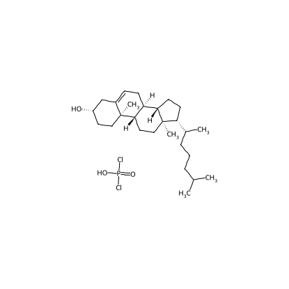 CC(C)CCCC(C)[C@H]1CC[C@H]2[C@@H]3CC=C4C[C@@H](O)CC[C@]4(C)[C@H]3CC[C@]12C.O=P(O)(Cl)Cl